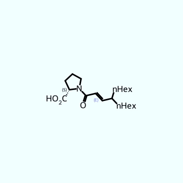 CCCCCCC(/C=C/C(=O)N1CCC[C@H]1C(=O)O)CCCCCC